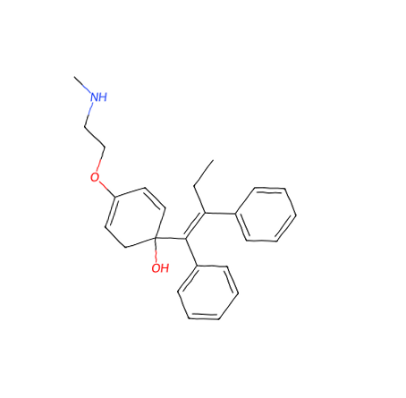 CCC(=C(c1ccccc1)C1(O)C=CC(OCCNC)=CC1)c1ccccc1